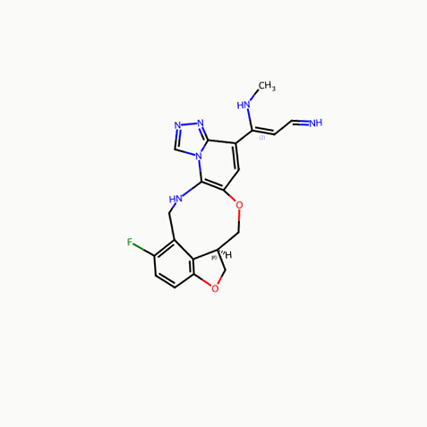 CN/C(=C\C=N)c1cc2c(n3cnnc13)NCc1c(F)ccc3c1[C@H](CO3)CO2